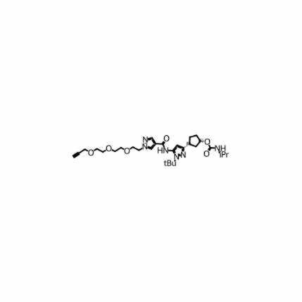 C#CCOCCOCCOCCn1cc(C(=O)Nc2cc([C@@H]3CC[C@H](OC(=O)NC(C)C)C3)nn2C(C)(C)C)cn1